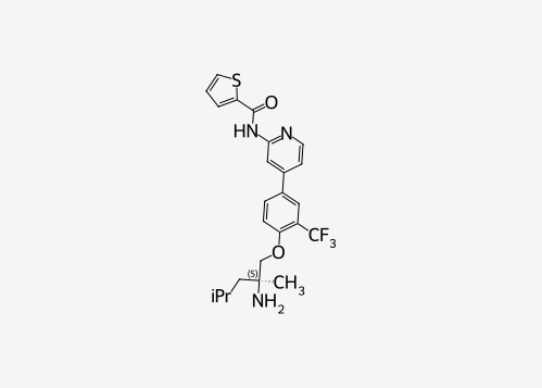 CC(C)C[C@](C)(N)COc1ccc(-c2ccnc(NC(=O)c3cccs3)c2)cc1C(F)(F)F